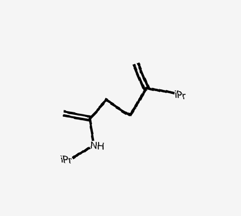 C=C(CCC(=C)C(C)C)NC(C)C